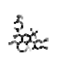 CN1CCN(c2nc(=O)n3c4c(c(-c5cc(Cl)c(F)cc5F)c(C(F)(F)F)cc24)SCCC3)CC1